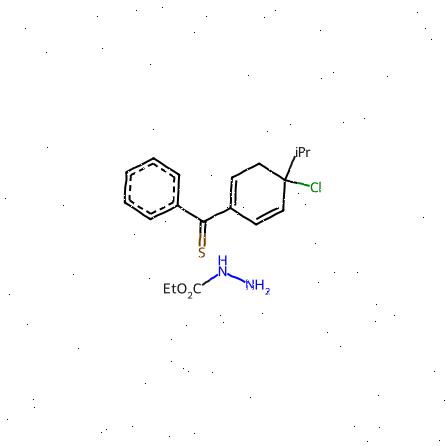 CC(C)C1(Cl)C=CC(C(=S)c2ccccc2)=CC1.CCOC(=O)NN